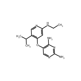 CCNc1cc(Oc2cnc(N)nc2N)c(C(C)C)cn1